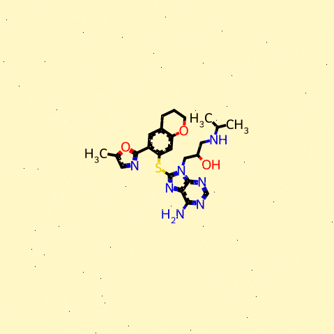 Cc1cnc(-c2cc3c(cc2Sc2nc4c(N)ncnc4n2CC(O)CNC(C)C)OCCC3)o1